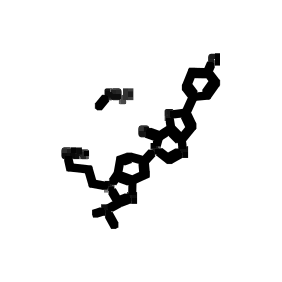 COCCCn1c(N(C)C)nc2cc(-n3cnc4cc(-c5ccc(Cl)cc5)sc4c3=O)ccc21.CS(=O)(=O)O